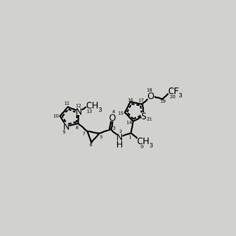 CC(NC(=O)C1CC1c1nccn1C)c1ccc(OCC(F)(F)F)s1